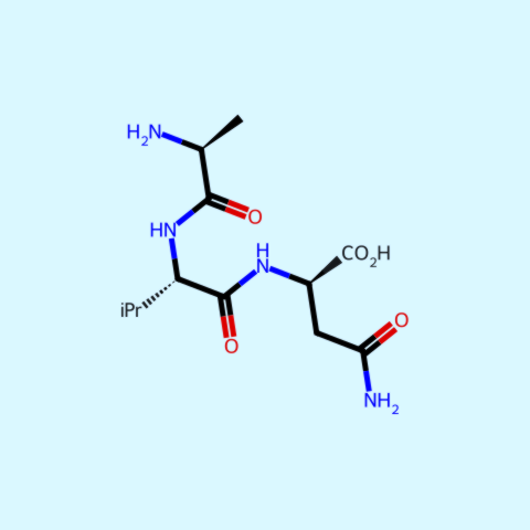 CC(C)[C@H](NC(=O)[C@H](C)N)C(=O)N[C@H](CC(N)=O)C(=O)O